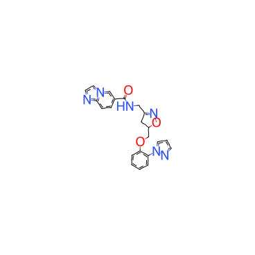 O=C(NCC1=NOC(COc2ccccc2-n2cccn2)C1)c1ccc2nccn2c1